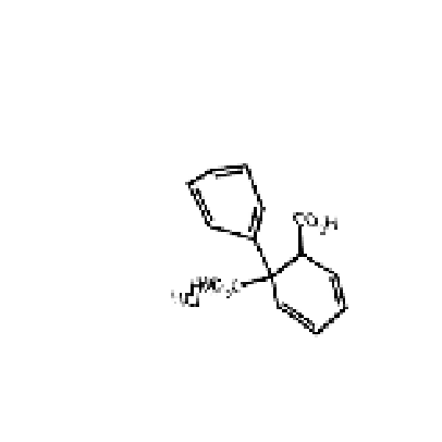 Cl.Cl.O=C(O)C1C=CC=CC1(C(=O)O)c1ccccc1